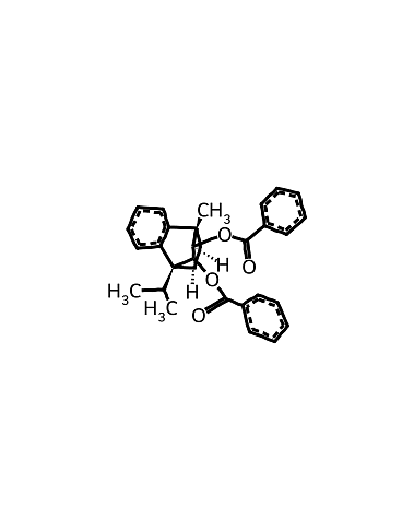 CC(C)[C@@]12CC[C@@](C)(c3ccccc31)[C@@H](OC(=O)c1ccccc1)[C@H]2OC(=O)c1ccccc1